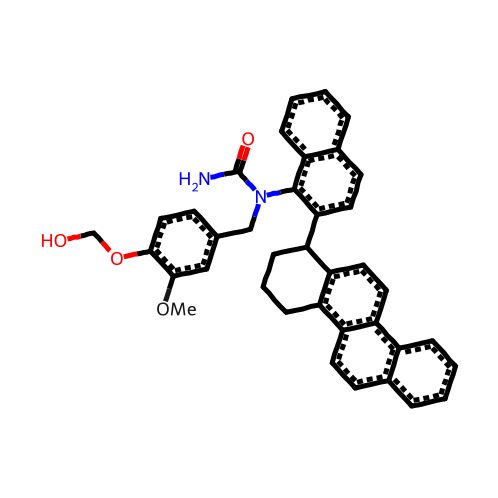 COc1cc(CN(C(N)=O)c2c(C3CCCc4c3ccc3c4ccc4ccccc43)ccc3ccccc23)ccc1OCO